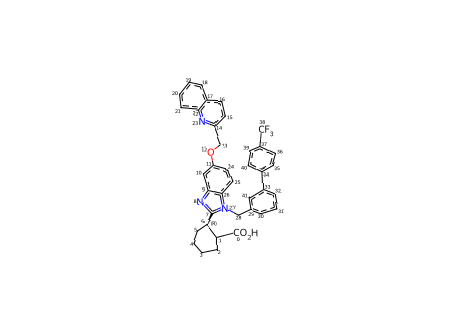 O=C(O)C1CCCC[C@H]1c1nc2cc(OCc3ccc4ccccc4n3)ccc2n1Cc1cccc(-c2ccc(C(F)(F)F)cc2)c1